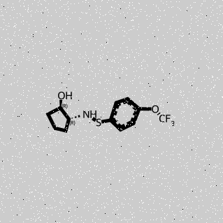 O[C@@H]1CCC[C@H]1NSc1ccc(OC(F)(F)F)cc1